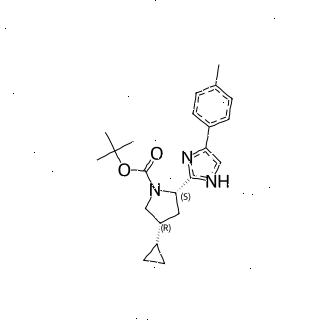 Cc1ccc(-c2c[nH]c([C@@H]3C[C@H](C4CC4)CN3C(=O)OC(C)(C)C)n2)cc1